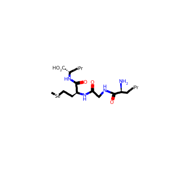 C[Se]CC[C@H](NC(=O)CNC(=O)[C@@H](N)CC(C)C)C(=O)N[C@H](C(=O)O)C(C)C